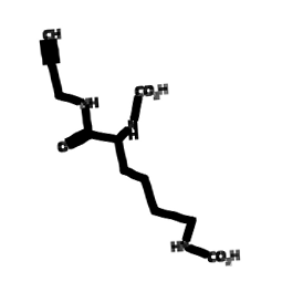 C#CCNC(=O)C(CCCCNC(=O)O)NC(=O)O